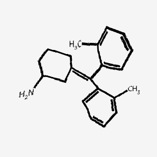 Cc1ccccc1C(=C1CCCC(N)C1)c1ccccc1C